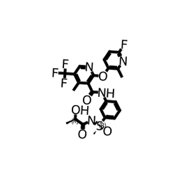 Cc1nc(F)ccc1Oc1ncc(C(F)(F)F)c(C)c1C(=O)Nc1cccc([S@@](C)(=O)=NC(=O)[C@@H](C)O)c1